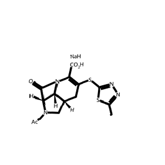 CC(=O)N1C[C@H]2CC(Sc3nnc(C)s3)=C(C(=O)O)N3C(=O)[C@@H]1[C@@H]23.[NaH]